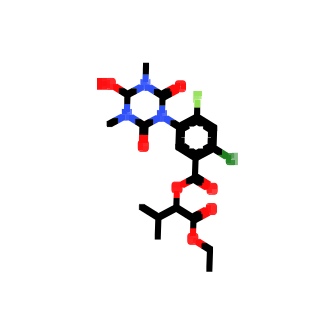 CCOC(=O)C(OC(=O)c1cc(N2C(=O)N(C)C(O)N(C)C2=O)c(F)cc1Cl)C(C)C